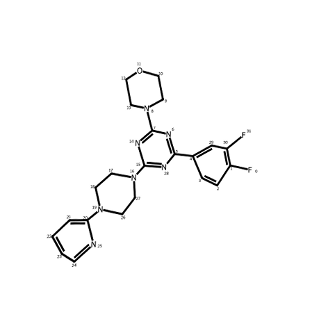 Fc1ccc(-c2nc(N3CCOCC3)nc(N3CCN(c4ccccn4)CC3)n2)cc1F